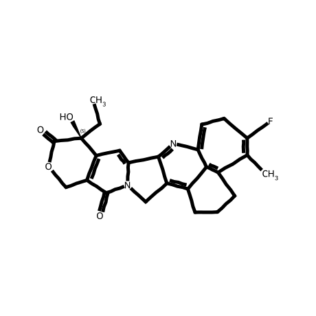 CC[C@@]1(O)C(=O)OCc2c1cc1n(c2=O)Cc2c-1nc1c3c2CCCC=3C(C)=C(F)CC=1